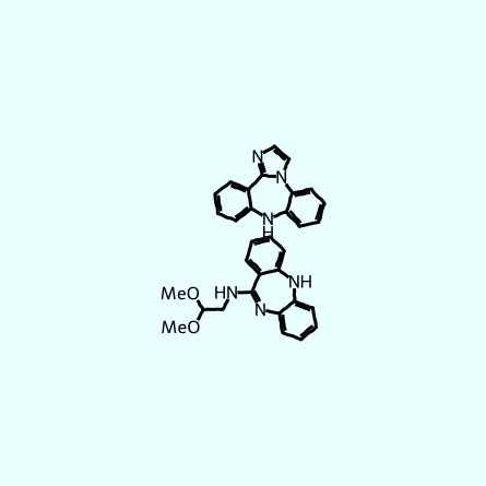 COC(CNC1=Nc2ccccc2Nc2ccccc21)OC.c1ccc2c(c1)Nc1ccccc1-n1ccnc1-2